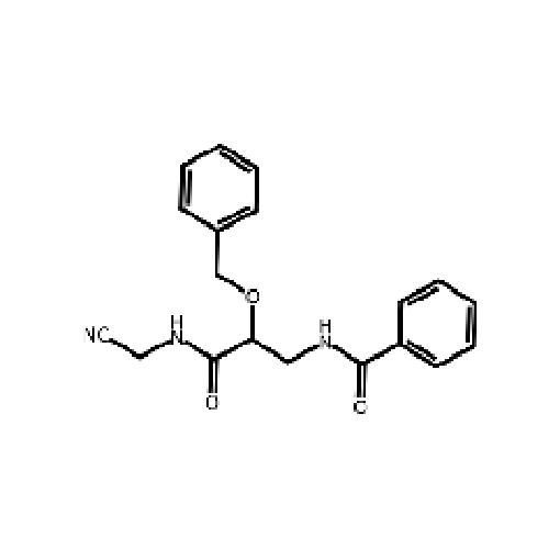 N#CCNC(=O)C(CNC(=O)c1ccccc1)OCc1ccccc1